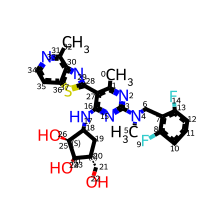 Cc1nc(N(C)Cc2c(F)cccc2F)nc(NC2C[C@H](CO)[C@@H](O)[C@H]2O)c1-c1nc2c(C)nccc2s1